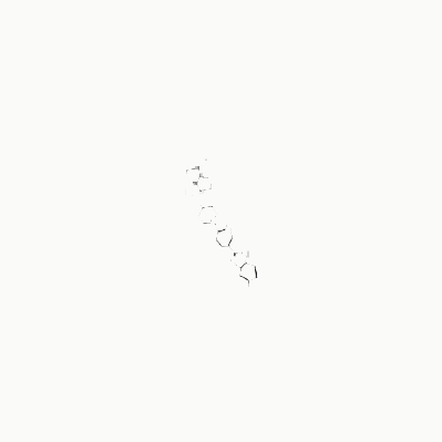 O[C@@H]1CO[C@H]2[C@@H]1OC[C@@H]2OC1CCN(c2ccc(-c3nc4cc(F)ccc4[nH]3)cn2)CC1